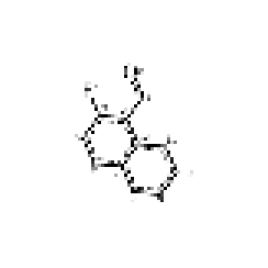 O=Cc1c(F)ccc2ccccc12